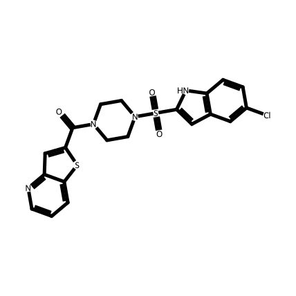 O=C(c1cc2ncccc2s1)N1CCN(S(=O)(=O)c2cc3cc(Cl)ccc3[nH]2)CC1